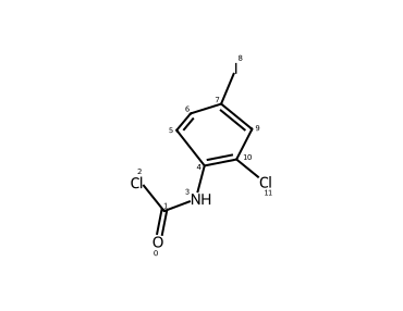 O=C(Cl)Nc1ccc(I)cc1Cl